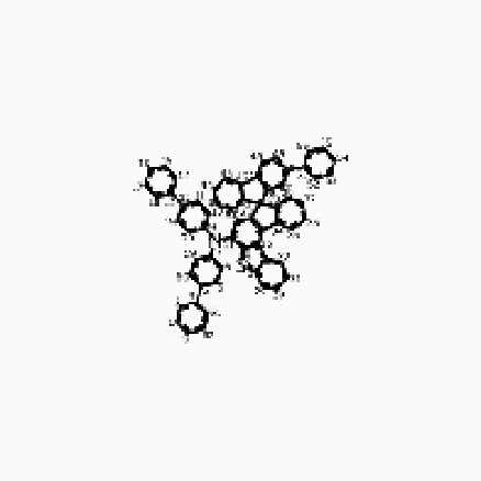 c1ccc(-c2ccc(N(c3ccc(-c4ccccc4)cc3)c3cc4c(c5c3sc3ccccc35)-c3ccccc3C43c4ccccc4-c4ccc(-c5ccccc5)cc43)cc2)cc1